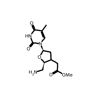 COC(=O)CC1C[C@H](n2cc(C)c(=O)[nH]c2=O)O[C@@H]1CN